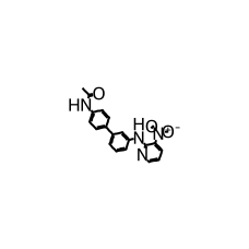 CC(=O)Nc1ccc(-c2cccc(Nc3ncccc3[N+](=O)[O-])c2)cc1